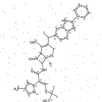 CC(C1=C(C(=O)[O-])N2C(=O)C(NC(=O)C(=NOC(C)(C)C(=O)O)c3noc(N)n3)[C@@H]2SC1)[n+]1ccc2nc(-c3ccccc3)[nH]c2c1